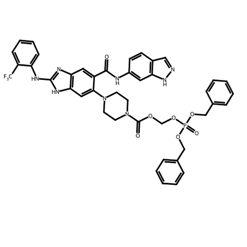 O=C(Nc1ccc2cn[nH]c2c1)c1cc2nc(Nc3ccccc3C(F)(F)F)[nH]c2cc1N1CCN(C(=O)OCOP(=O)(OCc2ccccc2)OCc2ccccc2)CC1